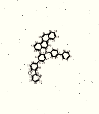 c1ccc(-c2ccc(N(c3ccc(-c4ccc5oc6cccnc6c5c4)cc3)c3cc4c5ccccc5ccc4c4ccccc34)cc2)cc1